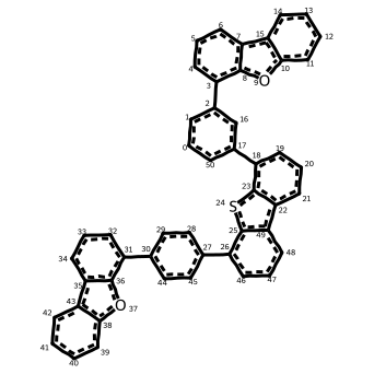 c1cc(-c2cccc3c2oc2ccccc23)cc(-c2cccc3c2sc2c(-c4ccc(-c5cccc6c5oc5ccccc56)cc4)cccc23)c1